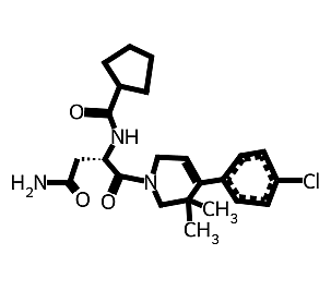 CC1(C)CN(C(=O)[C@H](CC(N)=O)NC(=O)C2CCCC2)CC=C1c1ccc(Cl)cc1